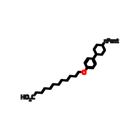 CCCCCC1CCC(c2ccc(OCCCCCCCCCCCC(=O)O)cc2)CC1